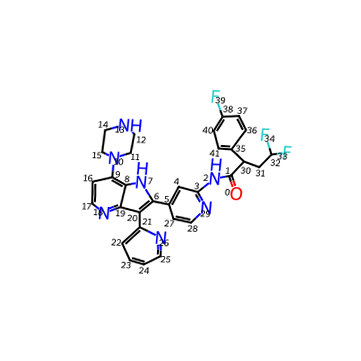 O=C(Nc1cc(-c2[nH]c3c(N4CCNCC4)ccnc3c2-c2ccccn2)ccn1)C(CC(F)F)c1ccc(F)cc1